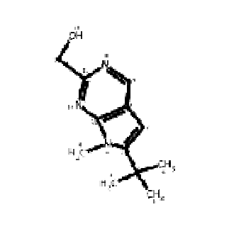 Cn1c(C(C)(C)C)cc2cnc(CO)nc21